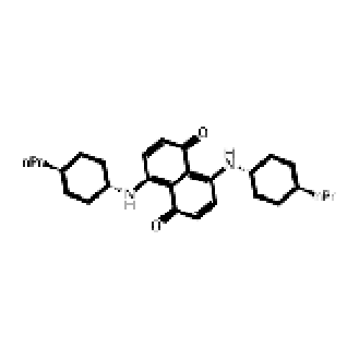 CCC[C@H]1CC[C@H](NC2=C3C(=O)C=CC(N[C@H]4CC[C@H](CCC)CC4)=C3C(=O)C=C2)CC1